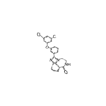 O=C1NCCn2c(-c3cccc(Oc4cc(Cl)cc(Cl)c4)c3)nc3cccc1c32